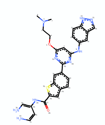 CN(C)CCOc1cc(Nc2ccc3[nH]ncc3c2)nc(-c2ccc3cc(C(=O)NC(/C=C\N)=C/N)sc3c2)n1